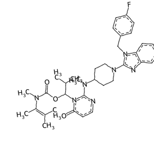 CC(C)=C(C)N(C)C(=O)OC(C(C)C)n1c(N(C)C2CCN(c3nc4ccccc4n3Cc3ccc(F)cc3)CC2)nccc1=O